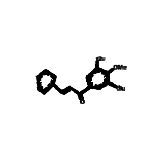 COc1c(C(C)(C)C)cc(C(=O)C=Cc2ccccc2)cc1C(C)(C)C